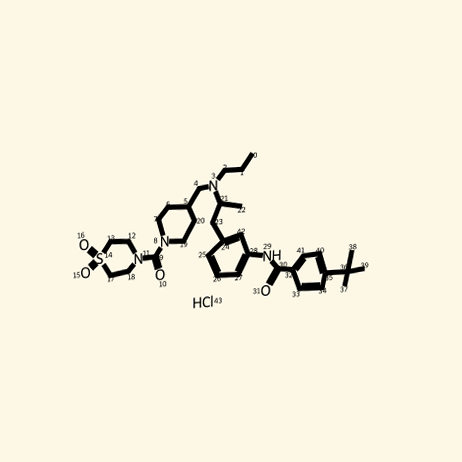 CCCN(CC1CCN(C(=O)N2CCS(=O)(=O)CC2)CC1)C(C)Cc1cccc(NC(=O)c2ccc(C(C)(C)C)cc2)c1.Cl